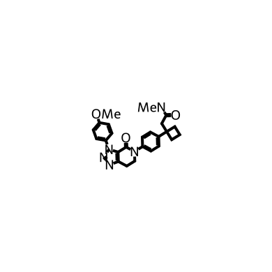 CNC(=O)CC1(c2ccc(N3CCc4nnn(-c5ccc(OC)cc5)c4C3=O)cc2)CCC1